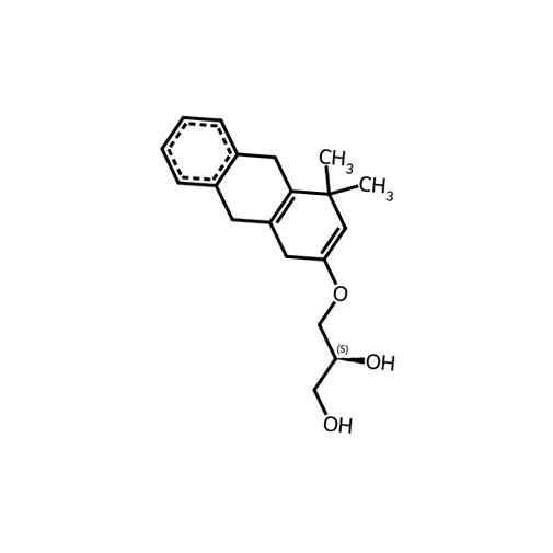 CC1(C)C=C(OC[C@@H](O)CO)CC2=C1Cc1ccccc1C2